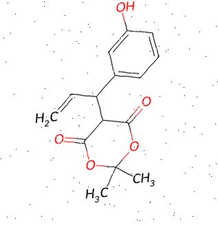 C=CC(c1cccc(O)c1)C1C(=O)OC(C)(C)OC1=O